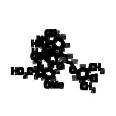 COCCn1c(C(=O)O)cc2c(OC)ccc(N3CC(C)n4c(c(CCCOc5cc(C)c(Cl)c(C)c5)c5ccc(Cl)c(-c6c(C)n[nH]c6C)c54)C3=O)c21